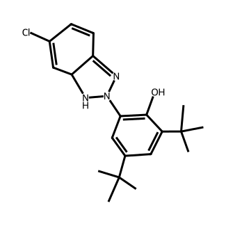 CC(C)(C)c1cc(N2N=C3C=CC(Cl)=CC3N2)c(O)c(C(C)(C)C)c1